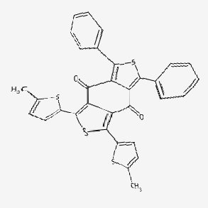 Cc1ccc(-c2sc(-c3ccc(C)s3)c3c2C(=O)c2c(-c4ccccc4)sc(-c4ccccc4)c2C3=O)s1